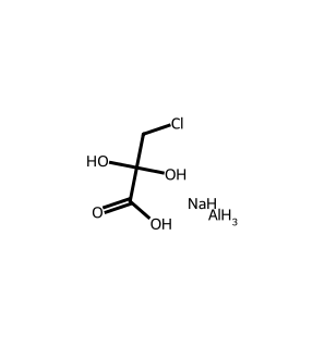 O=C(O)C(O)(O)CCl.[AlH3].[NaH]